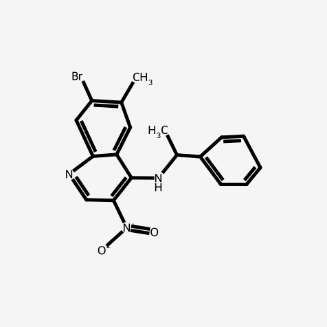 Cc1cc2c(NC(C)c3ccccc3)c([N+](=O)[O-])cnc2cc1Br